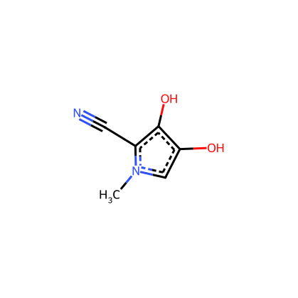 Cn1cc(O)c(O)c1C#N